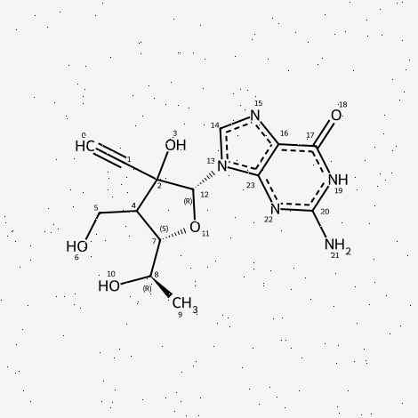 C#CC1(O)C(CO)[C@@H]([C@@H](C)O)O[C@H]1n1cnc2c(=O)[nH]c(N)nc21